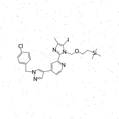 Cc1nc(-c2cc(-c3cnn(Cc4ccc(Cl)cc4)c3)ccn2)n(COCC[Si](C)(C)C)c1I